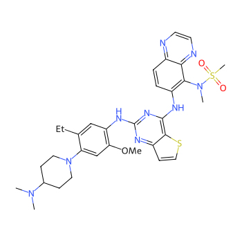 CCc1cc(Nc2nc(Nc3ccc4nccnc4c3N(C)S(C)(=O)=O)c3sccc3n2)c(OC)cc1N1CCC(N(C)C)CC1